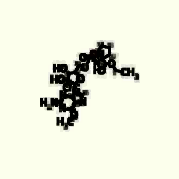 CCOC(=O)C1(NP(=O)(O)OC[C@H]2O[C@@H](n3cnc4c(OC)nc(N)nc43)C(C)(O)C2O)CCCC1